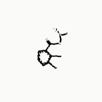 Cc1cccc(C(=O)OP(F)P)c1C